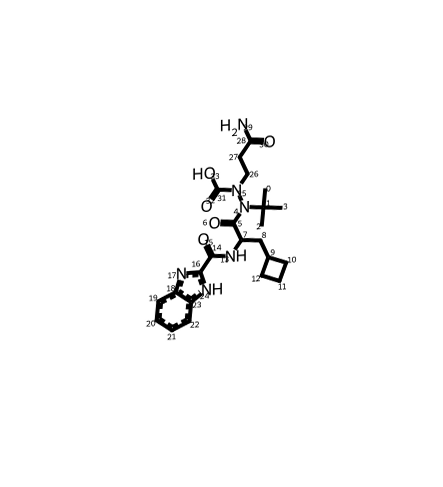 CC(C)(C)N(C(=O)C(CC1CCC1)NC(=O)c1nc2ccccc2[nH]1)N(CCC(N)=O)C(=O)O